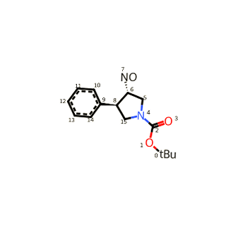 CC(C)(C)OC(=O)N1C[C@@H](N=O)[C@H](c2ccccc2)C1